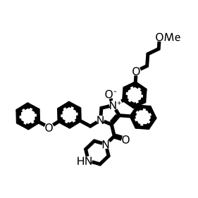 COCCCOc1cccc([N+]2([O-])CN(Cc3cccc(Oc4ccccc4)c3)C(C(=O)N3CCNCC3)=C2c2ccccc2)c1